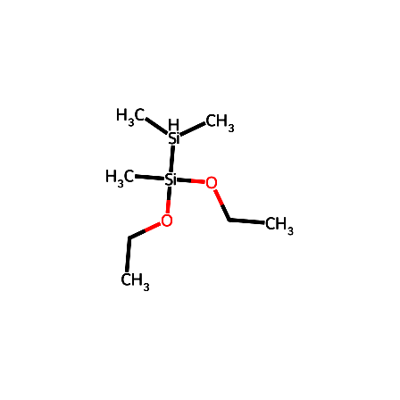 CCO[Si](C)(OCC)[SiH](C)C